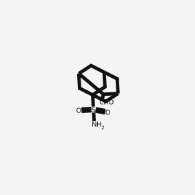 NS(=O)(=O)C12CC3CC(C1)C(C=O)C(C3)C2